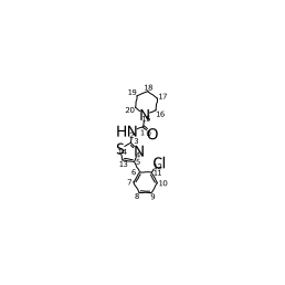 O=C(Nc1nc(-c2ccccc2Cl)cs1)N1CCCCC1